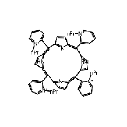 CCC[n+]1ccccc1-c1c2nc(c(-c3cccc[n+]3CCC)c3ccc([nH]3)c(-c3cccc[n+]3CCC)c3nc(c(-c4cccc[n+]4CCC)c4ccc1[nH]4)C=C3)C=C2